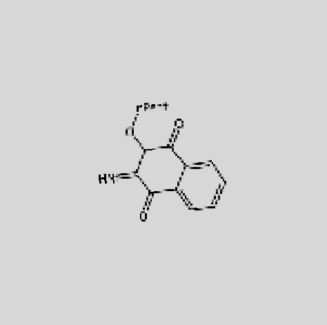 CCCCCOC1C(=N)C(=O)c2ccccc2C1=O